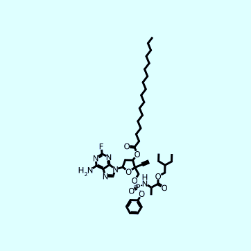 C#CC1(CO[P@@](=O)(NC(C)C(=O)OCC(CC)CC)Oc2ccccc2)OC(n2cnc3c(N)nc(F)nc32)CC1OC(=O)CCCCCCCCCCCCCCCCC